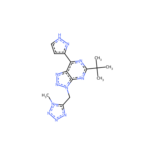 Cn1nnnc1Cn1nnc2c(-c3cc[nH]n3)nc(C(C)(C)C)nc21